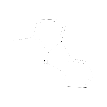 Clc1cccc2c1[N]c1ccccc1-2